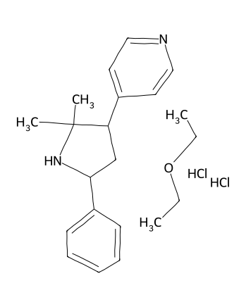 CC1(C)NC(c2ccccc2)CC1c1ccncc1.CCOCC.Cl.Cl